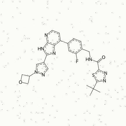 CC(C)(C)c1nnc(C(=O)NCc2ccc(-c3ccnc4[nH]c(-c5cnn(C6COC6)c5)nc34)cc2F)s1